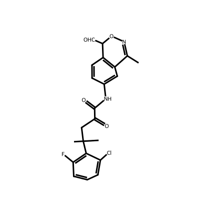 CC1=NOC(C=O)c2ccc(NC(=O)C(=O)CC(C)(C)c3c(F)cccc3Cl)cc21